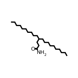 CCCCCCCCCCC(CCCCCCCCCC)CCC(N)=O